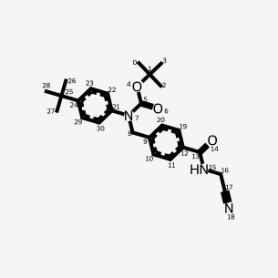 CC(C)(C)OC(=O)N(Cc1ccc(C(=O)NCC#N)cc1)c1ccc(C(C)(C)C)cc1